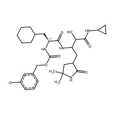 CC1(C)CC(CC(NC(=O)[C@H](CC2CCCCC2)NC(=O)OCc2cccc(Cl)c2)C(O)C(=O)NC2CC2)C(=O)N1